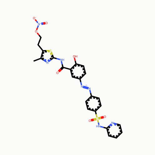 Cc1nc(NC(=O)c2cc(/N=N/c3ccc(S(=O)(=O)Nc4ccccn4)cc3)ccc2O)sc1CCO[N+](=O)[O-]